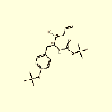 C=CC[C@@H](O)[C@H](Cc1ccc(OC(C)(C)C)cc1)NC(=O)OC(C)(C)C